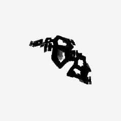 O=C(O)C1CNC[C@H]2[C@@H]1CCN2c1ncnc2[nH]ccc12